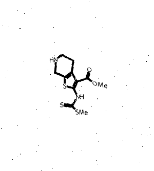 COC(=O)c1c(NC(=S)SC)sc2c1CCNC2